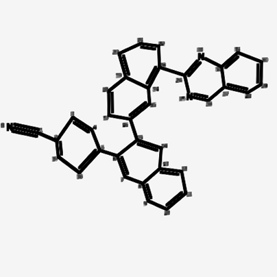 N#Cc1ccc(-c2cc3ccccc3cc2-c2ccc3cccc(-c4ncc5ccccc5n4)c3c2)cc1